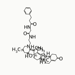 CC1=C2C[C@H]3[C@@H](CCC4=CC(=O)CC[C@@]43C)[C@@H]2CC[C@]12O[C@@H]1C[C@H](C)CN(CCNC(=O)CNC(=O)CCc3ccccc3)[C@H]1[C@H]2C